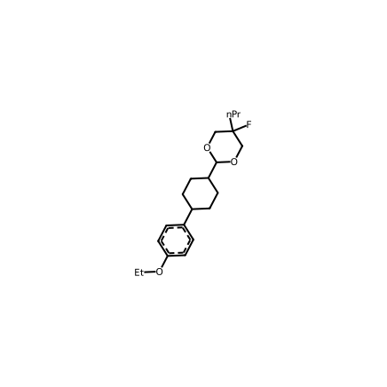 CCCC1(F)COC(C2CCC(c3ccc(OCC)cc3)CC2)OC1